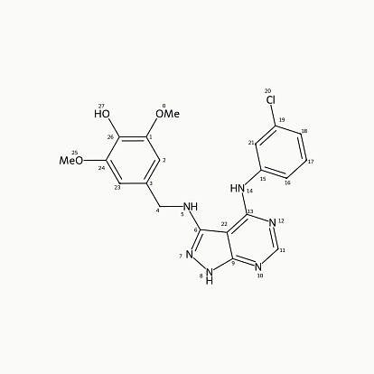 COc1cc(CNc2n[nH]c3ncnc(Nc4cccc(Cl)c4)c23)cc(OC)c1O